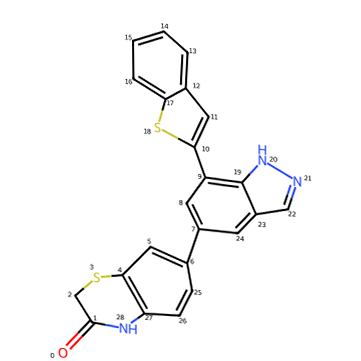 O=C1CSc2cc(-c3cc(-c4cc5ccccc5s4)c4[nH]ncc4c3)ccc2N1